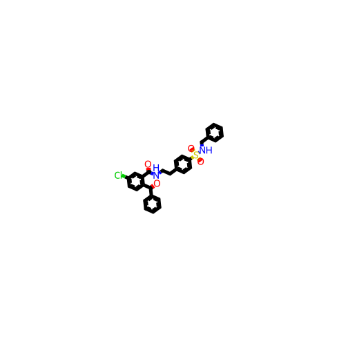 O=C(NCCc1ccc(S(=O)(=O)NCc2ccccc2)cc1)c1cc(Cl)ccc1C(=O)c1ccccc1